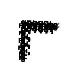 Cn1cc[n+](C)c1F.Cn1cc[n+](C)c1F.Cn1cc[n+](C)c1F.Cn1cc[n+](C)c1F.Cn1cc[n+](C)c1F.Cn1cc[n+](C)c1F.Cn1cc[n+](C)c1F.Cn1cc[n+](C)c1F.[O-]B([O-])F.[O-]B([O-])F.[O-]B([O-])F.[O-]B([O-])F